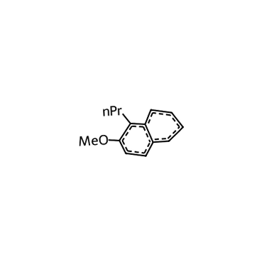 [CH2]CCc1c(OC)ccc2ccccc12